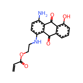 C=CC(=O)OCCNc1ccc(N)c2c1C(=O)c1cccc(O)c1C2=O